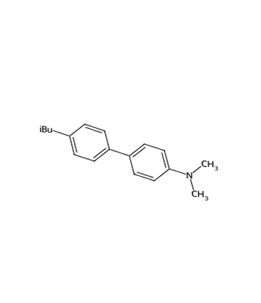 CCC(C)c1ccc(-c2ccc(N(C)C)cc2)cc1